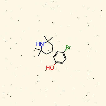 CC1(C)CCCC(C)(C)N1.Oc1ccc(Br)cc1